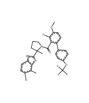 COc1ccc(-c2ccc(OC(F)(F)F)cc2)c(C(=O)N2CCCC2(C)c2nc3c(C)c(Cl)ccc3[nH]2)c1F